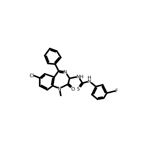 CN1C(=O)C(NC(=S)Nc2cccc(F)c2)N=C(c2ccccc2)c2cc(Cl)ccc21